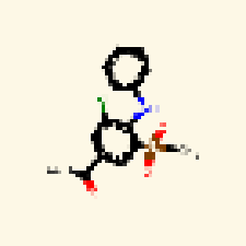 COC(=O)c1cc(Cl)c(Nc2ccccc2)c(S(C)(=O)=O)c1